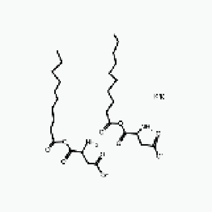 CCCCCCCCCC(=O)OC(=O)C(N)CC(=O)[O-].CCCCCCCCCC(=O)OC(=O)C(N)CC(=O)[O-].[K+].[K+]